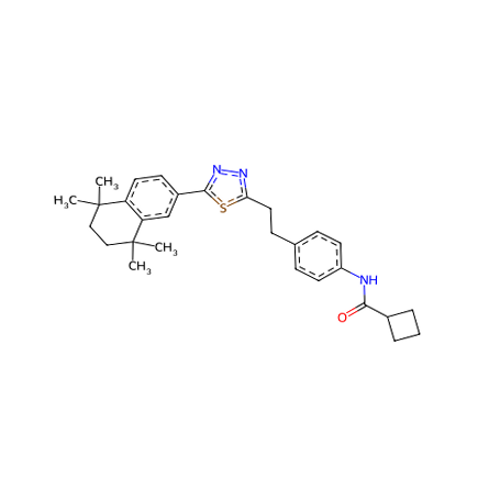 CC1(C)CCC(C)(C)c2cc(-c3nnc(CCc4ccc(NC(=O)C5CCC5)cc4)s3)ccc21